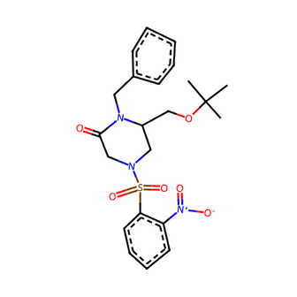 CC(C)(C)OCC1CN(S(=O)(=O)c2ccccc2[N+](=O)[O-])CC(=O)N1Cc1ccccc1